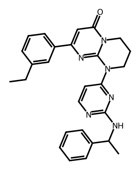 CCc1cccc(-c2cc(=O)n3c(n2)N(c2ccnc(NC(C)c4ccccc4)n2)CCC3)c1